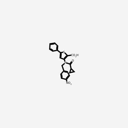 O=C(O)c1sc(-c2ccccc2)cc1N(Cc1ccc([N+](=O)[O-])cc1)C(=O)C1CC1